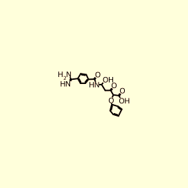 N=C(N)c1ccc(C(=O)NC(O)CC(=O)C(Oc2ccccc2)C(=O)O)cc1